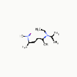 CCN(C(C)C)C(C)CCC(C)N(C)I